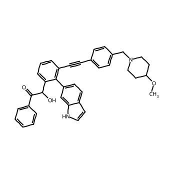 COC1CCN(Cc2ccc(C#Cc3cccc(C(O)C(=O)c4ccccc4)c3-c3ccc4cc[nH]c4c3)cc2)CC1